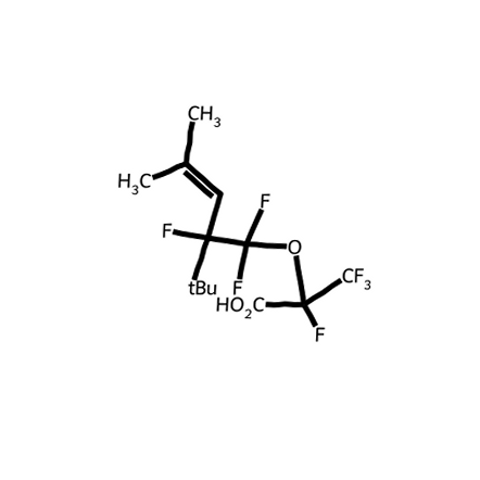 CC(C)=CC(F)(C(C)(C)C)C(F)(F)OC(F)(C(=O)O)C(F)(F)F